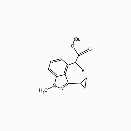 Cn1nc(C2CC2)c2c(C(Br)C(=O)OC(C)(C)C)cccc21